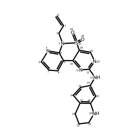 C=CCN1c2ncccc2-c2nc(Nc3ccc4c(c3)NCCC4)ncc2S1(=O)=O